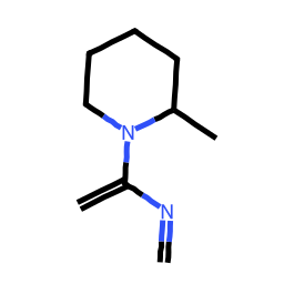 C=NC(=C)N1CCCCC1C